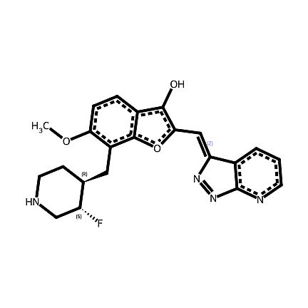 COc1ccc2c(O)c(/C=C3\N=Nc4ncccc43)oc2c1C[C@@H]1CCNC[C@H]1F